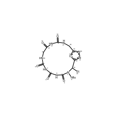 CCCCN1C(=O)NC(=O)NC(=O)NCC(=O)NC(=O)NCc2nnc(o2)C1CC